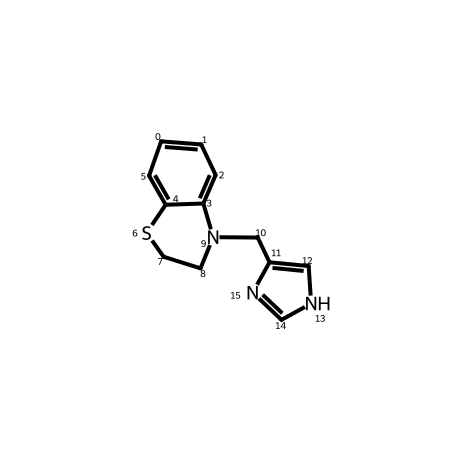 c1ccc2c(c1)SCCN2Cc1c[nH]cn1